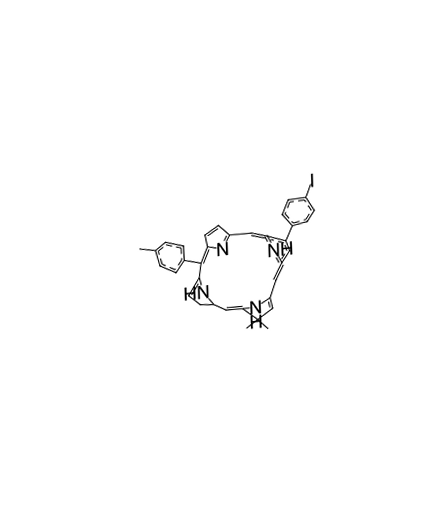 Cc1ccc(C2=C3C=CC(=N3)C=c3[nH]c(cc3-c3ccc(I)cc3)=CC3=CC(C)(C)C(=CC4CC=C2N4)N3)cc1